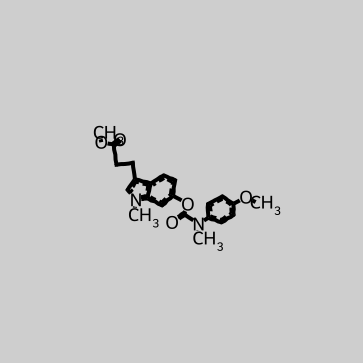 COC(=O)CCc1cn(C)c2cc(OC(=O)N(C)c3ccc(OC)cc3)ccc12